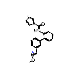 CO/N=C/c1cccc(-c2ccccc2NC(=O)c2ccsc2)c1